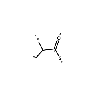 CC(F)C(=O)[S]